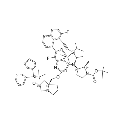 CC(C)[Si](C#Cc1c(F)ccc2cccc(-c3ncc4c(N(C)[C@@H]5CCN(C(=O)OC(C)(C)C)[C@@H]5C)nc(OC[C@@]56CCCN5C[C@H](O[Si](c5ccccc5)(c5ccccc5)C(C)(C)C)C6)nc4c3F)c12)(C(C)C)C(C)C